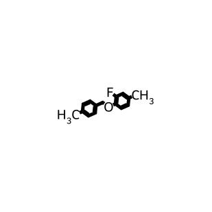 Cc1ccc(COc2ccc(C)cc2F)cc1